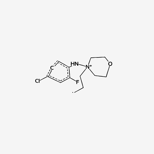 [CH2]CC[N+]1(Nc2ccc(Cl)cc2F)CCOCC1